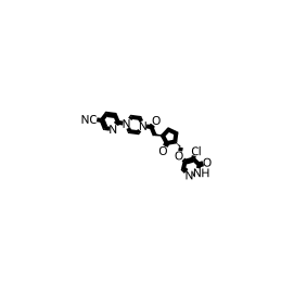 N#Cc1ccc(N2CCN(C(=O)C[C@H]3CC[C@H](COc4cn[nH]c(=O)c4Cl)C3=O)CC2)nc1